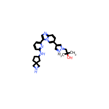 CC(C)(O)Cn1cc(-c2ccc3ncc(-c4cccc(NC5CCC6(CNC6)C5)n4)n3c2)cn1